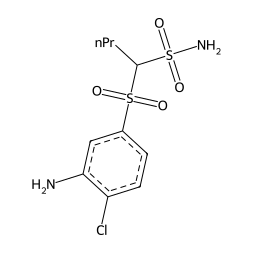 CCCC(S(N)(=O)=O)S(=O)(=O)c1ccc(Cl)c(N)c1